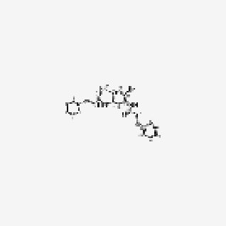 O=C(C=Cc1ccccc1)Nc1cc(NC(=O)C=Cc2ccccc2)c(Br)cc1Br